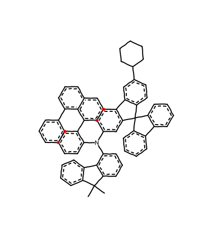 CC1(C)c2ccccc2-c2c(N(c3ccc4c(c3)C3(c5ccccc5-c5ccccc53)c3ccc(C5CCCCC5)cc3-4)c3ccccc3-c3cccc4cccc(-c5ccccc5)c34)cccc21